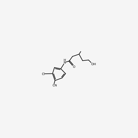 CC(CCO)CC(=O)Nc1ccc(C#N)c(Cl)c1